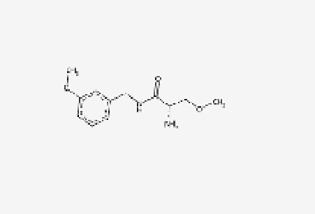 COC[C@H](N)C(=O)NCc1cccc(OC)c1